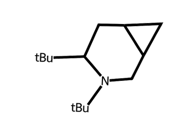 CC(C)(C)C1CC2CC2CN1C(C)(C)C